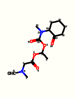 CC(OC(=O)CN(C)C=O)OC(=O)N(C)C1CCCCC1=O